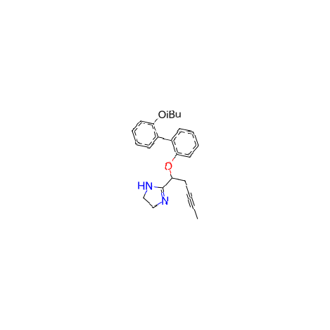 CC#CCC(Oc1ccccc1-c1ccccc1OCC(C)C)C1=NCCN1